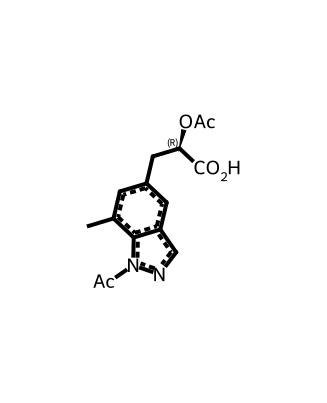 CC(=O)O[C@H](Cc1cc(C)c2c(cnn2C(C)=O)c1)C(=O)O